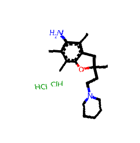 Cc1c(C)c2c(c(C)c1N)CC(C)(CCN1CCCCC1)O2.Cl.Cl